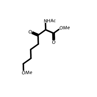 COCCCCC(=O)C(NC(C)=O)C(=O)OC